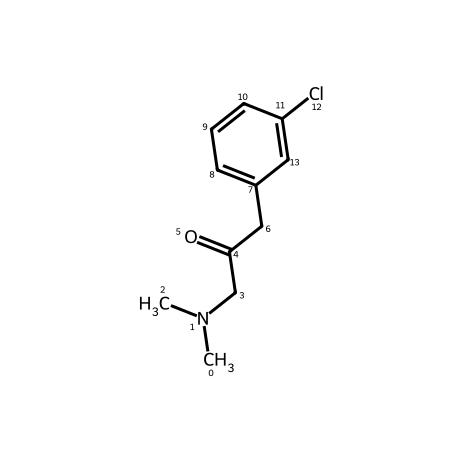 CN(C)CC(=O)Cc1cccc(Cl)c1